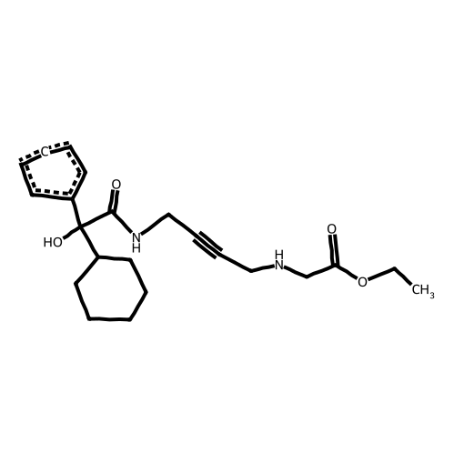 CCOC(=O)CNCC#CCNC(=O)C(O)(c1ccccc1)C1CCCCC1